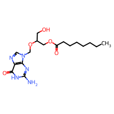 CCCCCCCC(=O)OCC(CO)OCn1cnc2c(=O)[nH]c(N)nc21